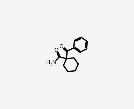 NC(=O)C1(C(=O)c2ccccc2)CCCCC1